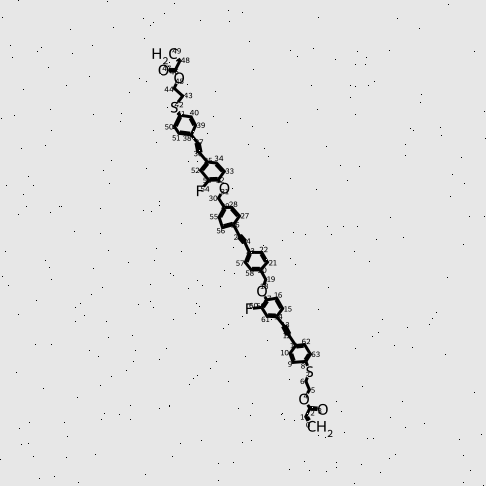 C=CC(=O)OCCSc1ccc(C#Cc2ccc(OCc3ccc(C#Cc4ccc(COc5ccc(C#Cc6ccc(SCCOC(=O)C=C)cc6)cc5F)cc4)cc3)c(F)c2)cc1